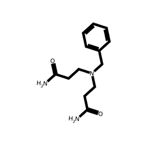 NC(=O)CCN(CCC(N)=O)Cc1ccccc1